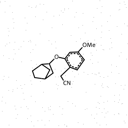 COc1ccc(CC#N)c(OC2CC3CCC2C3)c1